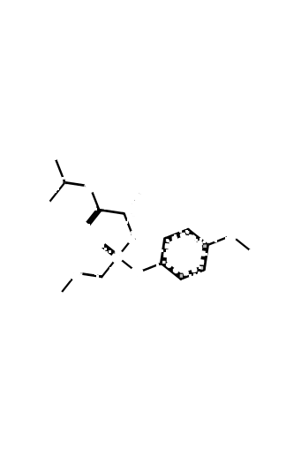 COCP(=O)(N[C@@H](C)C(=O)OC(C)C)Oc1ccc(SC)cc1